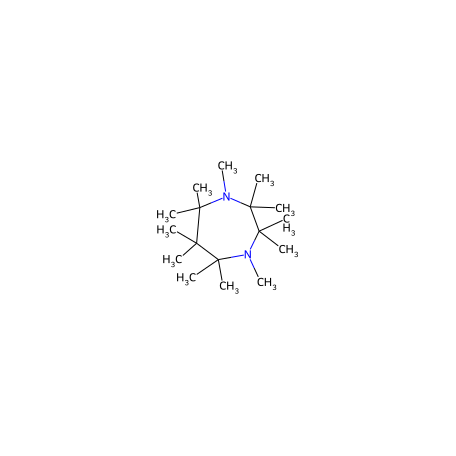 CN1C(C)(C)C(C)(C)N(C)C(C)(C)C(C)(C)C1(C)C